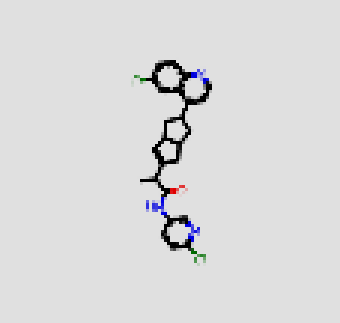 CC(C(=O)Nc1ccc(Cl)nc1)C1=CC2CC(c3ccnc4ccc(F)cc34)CC2C1